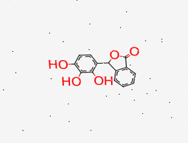 O=C1OC(c2ccc(O)c(O)c2O)c2ccccc21